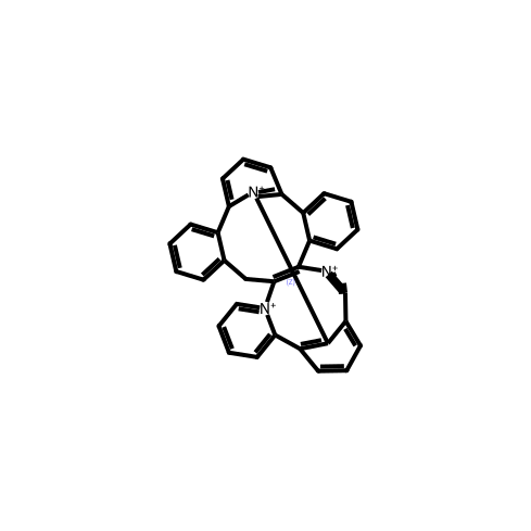 c1ccc2c(c1)C/C1=C3\c4ccccc4-c4cccc-2[n+]4-c2c(cccc2-c2cccc[n+]23)-c2cccc[n+]21